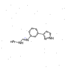 CCCN/C=N/c1cccc(-c2cc[nH]n2)c1